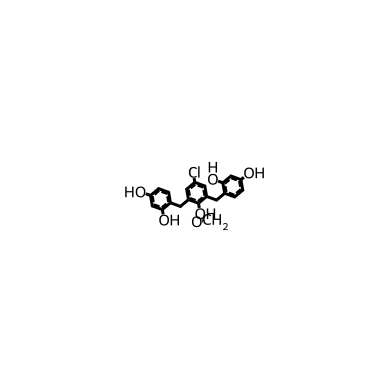 C=O.Oc1ccc(Cc2cc(Cl)cc(Cc3ccc(O)cc3O)c2O)c(O)c1